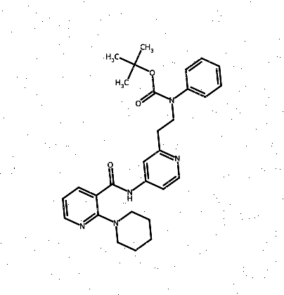 CC(C)(C)OC(=O)N(CCc1cc(NC(=O)c2cccnc2N2CCCCC2)ccn1)c1ccccc1